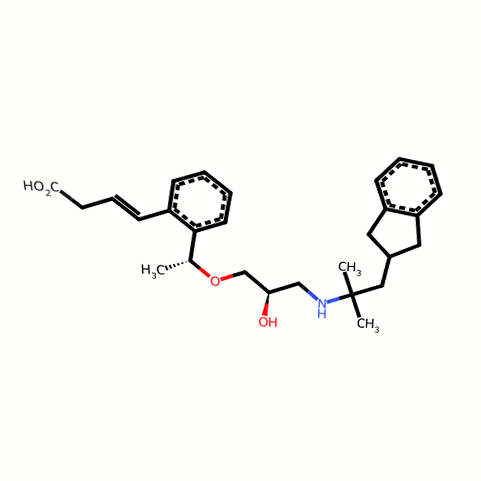 C[C@@H](OC[C@H](O)CNC(C)(C)CC1Cc2ccccc2C1)c1ccccc1/C=C/CC(=O)O